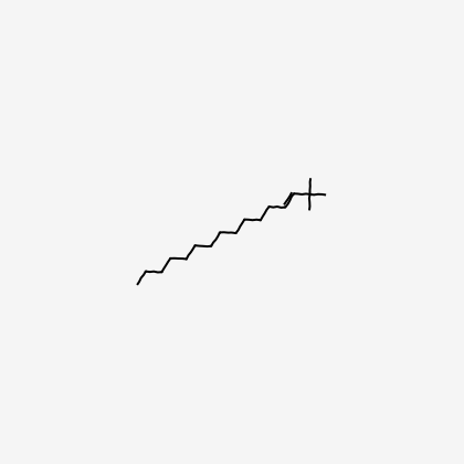 CCCCCCCCCCCCC=CC(C)(C)C